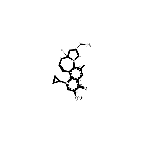 NC[C@H]1C[C@@H]2CC=Cc3c(c(F)cc4c(=O)c(C(=O)O)cn(C5CC5)c34)N2C1